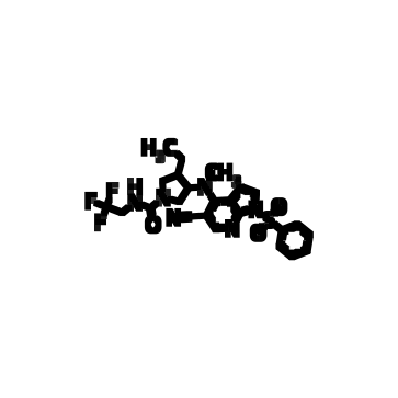 CCC1CN(C(=O)NCC(F)(F)F)CC1N(C)c1c(C#N)cnc2c1ccn2S(=O)(=O)c1ccccc1